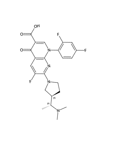 C[C@H]([C@@H]1CCN(c2nc3c(cc2F)c(=O)c(C(=O)O)cn3-c2ccc(F)cc2F)C1)N(C)C